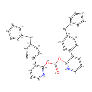 O=C(Oc1ncccc1-c1ccc(Cc2ccccc2)cc1)Oc1ncccc1-c1ccc(Cc2ccccc2)cc1